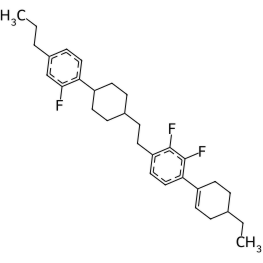 CCCc1ccc(C2CCC(CCc3ccc(C4=CCC(CC)CC4)c(F)c3F)CC2)c(F)c1